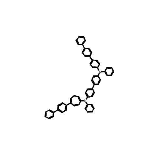 C1=CC(N(c2ccccc2)c2ccc(-c3ccc(N(c4ccccc4)c4ccc(-c5ccc(-c6ccccc6)cc5)cc4)cc3)cc2)=CCC=C1c1ccc(-c2ccccc2)cc1